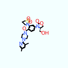 Cc1cnc(N2CCN(C(=O)c3ccc(N4C(=O)OC[C@H]4CO)cc3N3CCCS3(=O)=O)CC2)c(C)c1